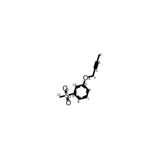 CC#CCOc1cccc(S(C)(=O)=O)c1